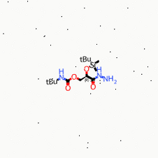 CC(C)(C)NC(=O)OC[C@@H](O[Si](C)(C)C(C)(C)C)C(=O)NN